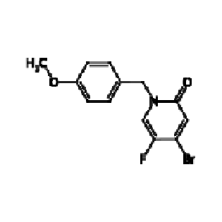 COc1ccc(Cn2cc(F)c(Br)cc2=O)cc1